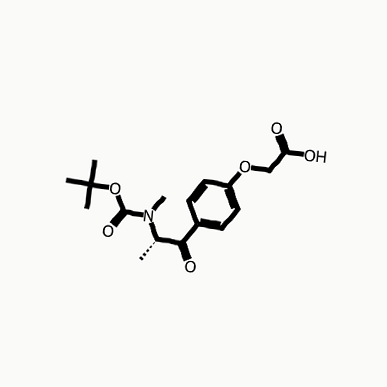 C[C@@H](C(=O)c1ccc(OCC(=O)O)cc1)N(C)C(=O)OC(C)(C)C